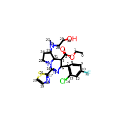 CCOC(=O)C1C(c2ccc(F)cc2Cl)N=C(c2nccs2)N2CCC(N(C)CCO)C12